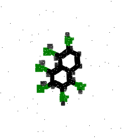 Brc1ccc2c(Br)c(Br)c(Br)c(Br)c2c1Br